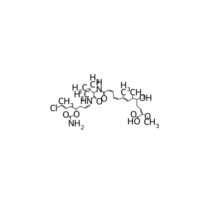 CO/C(=C/CC(O)C(C)/C=C(C)/C=C\C=C/C(=O)NC(C(=O)N/C=C\CC(C/C=C(\C)Cl)OC(N)=O)C(C)(C)C)C(=O)O